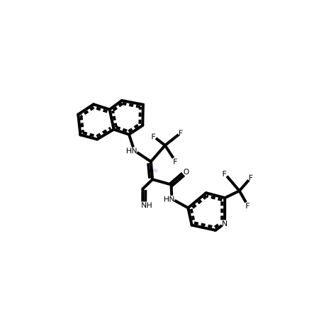 N=C/C(C(=O)Nc1ccnc(C(F)(F)F)c1)=C(\Nc1cccc2ccccc12)C(F)(F)F